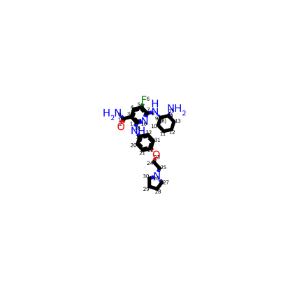 NC(=O)c1cc(F)c(N[C@@H]2CCCC[C@@H]2N)nc1Nc1ccc(OCCN2CCCC2)cc1